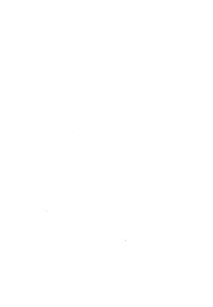 CCS(CC)(C1C(C)C(C)C(C)C1C)C1C(C)CC2C1CC1CCCC1C2c1cc(C(C)(C)C)cc(C(C)(C)C)c1